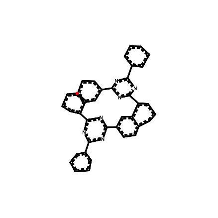 c1ccc(-c2nc(-c3ccccc3)nc(-c3ccc4cccc(-c5nc(-c6ccccc6)nc(-c6ccccc6)n5)c4c3)n2)cc1